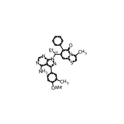 CC[C@@H](c1cc2scc(C)n2c(=O)c1-c1ccccc1)n1nc(-c2ccc(OC)c(C)c2)c2c(N)ncnc21